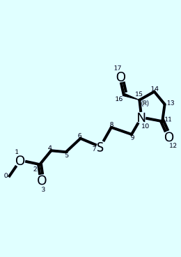 COC(=O)CCCSCCN1C(=O)CC[C@@H]1C=O